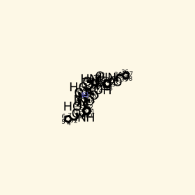 O=C(CC1CCCC1)Nc1cccc(N2C(=O)/C(=C3\C(=O)C(c4c(O)n(-c5cccc(NC(=O)CC6CCCC6)c5)c(=O)[nH]c4=O)=C3O)C(=O)N=C2O)c1